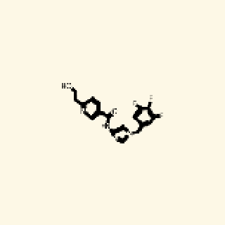 O=C(Nc1cn(Cc2cc(F)c(F)c(F)c2)cn1)c1ccc(CCO)nc1